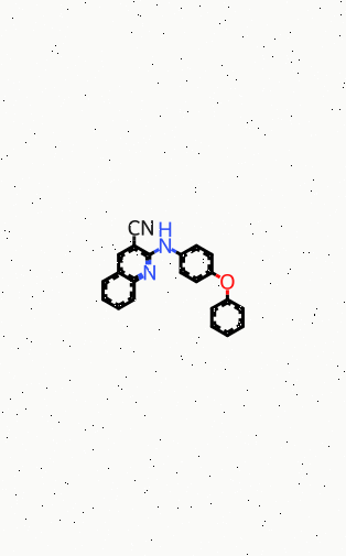 N#Cc1cc2ccccc2nc1Nc1ccc(Oc2ccccc2)cc1